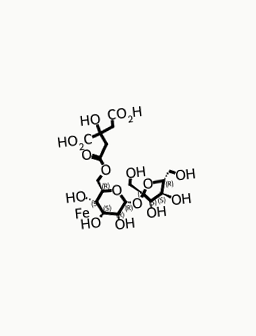 O=C(O)CC(O)(CC(=O)OC[C@H]1O[C@H](O[C@]2(CO)O[C@H](CO)[C@@H](O)[C@@H]2O)[C@H](O)[C@@H](O)[C@@H]1O)C(=O)O.[Fe]